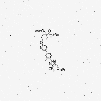 CCCOCn1nc(-c2ccc(-c3ccc(O[C@H]4CC[C@](COC)(C(=O)OC(C)(C)C)CC4)nc3)cc2C)nc1C(F)(F)F